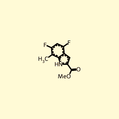 COC(=O)c1cc2c(F)cc(F)c(C)c2[nH]1